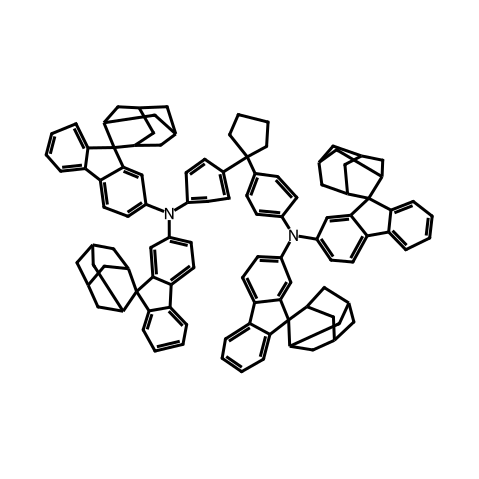 c1ccc2c(c1)-c1ccc(N(c3ccc(C4(c5ccc(N(c6ccc7c(c6)C6(c8ccccc8-7)C7CC8CC(C7)CC6C8)c6ccc7c(c6)C6(c8ccccc8-7)C7CC8CC(C7)CC6C8)cc5)CCCC4)cc3)c3ccc4c(c3)C3(c5ccccc5-4)C4CC5CC(C4)CC3C5)cc1C21C2CC3CC(C2)CC1C3